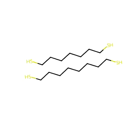 SCCCCCCCCS.SCCCCCCCS